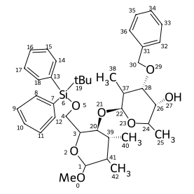 COC1OC(CO[Si](c2ccccc2)(c2ccccc2)C(C)(C)C)[C@@H](O[C@@H]2OC(C)[C@@H](O)[C@@H](OCc3ccccc3)C2C)[C@H](C)C1C